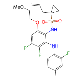 C=CCC1(S(=O)(=O)Nc2c(OCCOC)cc(F)c(F)c2Nc2ccc(C)cc2F)CC1